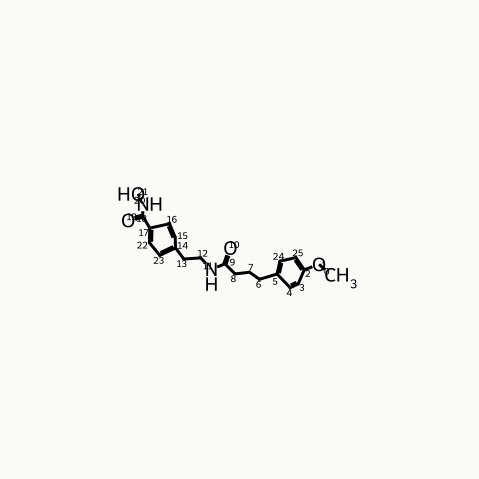 COc1ccc(CCCC(=O)NCCc2ccc(C(=O)NO)cc2)cc1